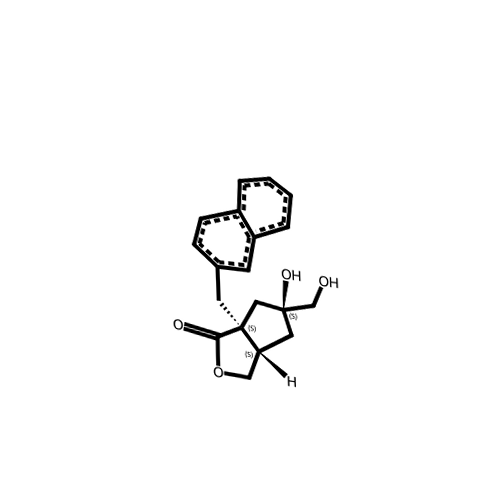 O=C1OC[C@H]2C[C@@](O)(CO)C[C@]12Cc1ccc2ccccc2c1